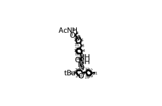 CC(=O)NCC(=O)N1CCC(Cc2cccc(NC(=O)NN=NC3=CC(C(C)(C)C)=COC3c3ccc(C)cc3)c2)CC1